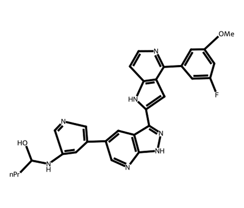 CCCC(O)Nc1cncc(-c2cnc3[nH]nc(-c4cc5c(-c6cc(F)cc(OC)c6)nccc5[nH]4)c3c2)c1